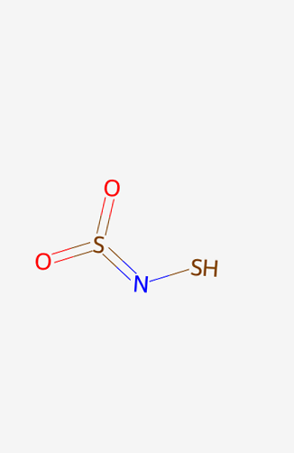 O=S(=O)=NS